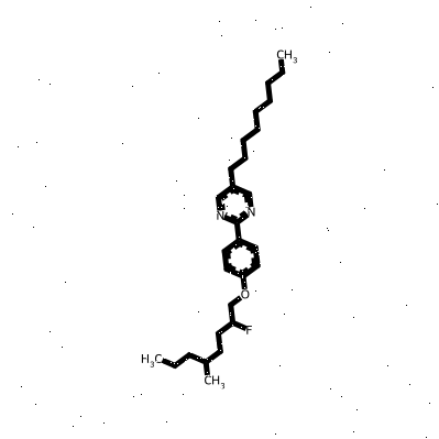 CCCCCCCCCc1cnc(-c2ccc(OCC(F)CCC(C)CCC)cc2)nc1